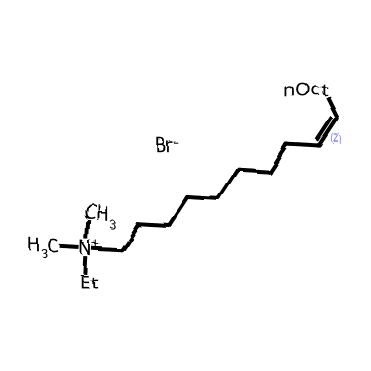 CCCCCCCC/C=C\CCCCCCCC[N+](C)(C)CC.[Br-]